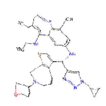 CC(C)(C)CNc1c(C#N)cnc2c(C#N)cc(N[C@H](c3cn(C4CC4)nn3)c3csc4c3CCN(C3COC3)C4)cc12